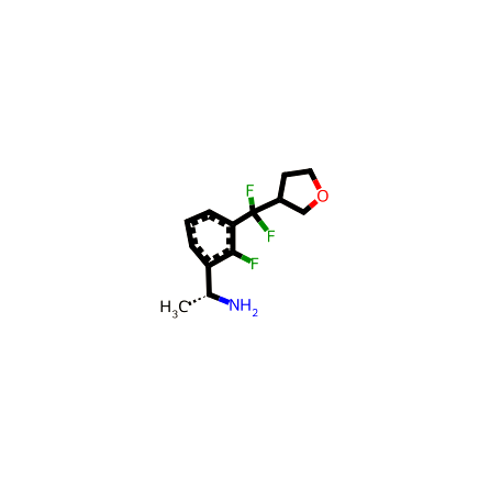 C[C@@H](N)c1cccc(C(F)(F)C2CCOC2)c1F